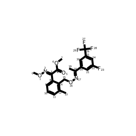 CO/N=C(/C(=O)OC)c1cccc(C)c1CO/N=C(\C)c1cc(F)cc(C(F)(F)F)c1